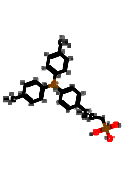 CCS(=O)(=O)[O-].Cc1ccc([S+](c2ccc(C)cc2)c2ccc(C)cc2)cc1